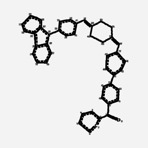 O=C(c1ccccc1)c1ccc(-c2ccc(C=C3CCC(=Cc4ccc(-n5c6ccccc6c6ccccc65)cc4)CC3)cc2)cc1